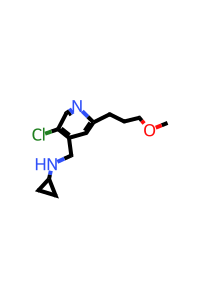 COCCCc1cc(CNC2CC2)c(Cl)cn1